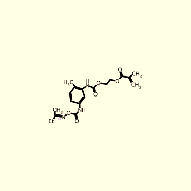 C=C(C)C(=O)OCCOC(=O)Nc1cc(NC(=O)O/N=C(\C)CC)ccc1C